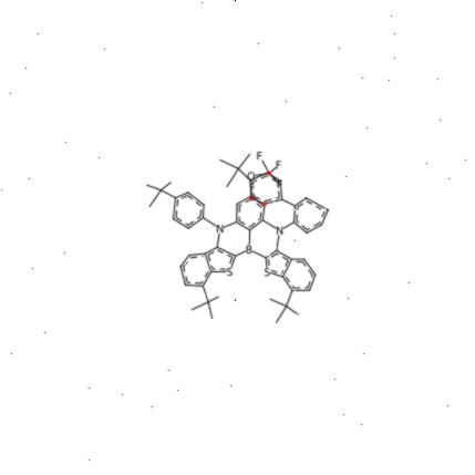 CC(C)(C)c1ccc(-c2ccccc2N2c3cc(OC(F)(F)F)cc4c3B(c3sc5c(C(C)(C)C)cccc5c3N4c3ccc(C(C)(C)C)cc3)c3sc4c(C(C)(C)C)cccc4c32)cc1